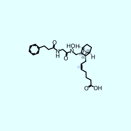 O=C(O)CCC/C=C\C[C@H]1[C@@H](CN(O)C(=O)CNC(=O)CCc2ccccc2)[C@H]2CC[C@@H]1O2